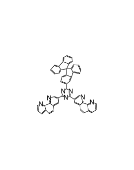 c1ccc2c(c1)-c1ccccc1C21c2ccccc2-c2cc(-c3nc(-c4cnc5c(ccc6cccnc65)c4)nc(-c4cnc5c(ccc6cccnc65)c4)n3)ccc21